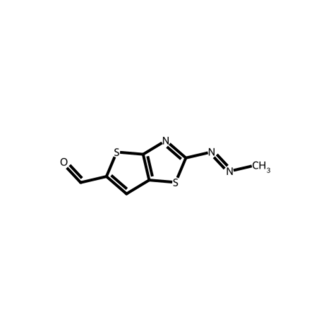 C/N=N/c1nc2sc(C=O)cc2s1